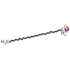 C1=NCCO1.CCCCCCCCCCCCCCCCCCCCCCCCCCCCC